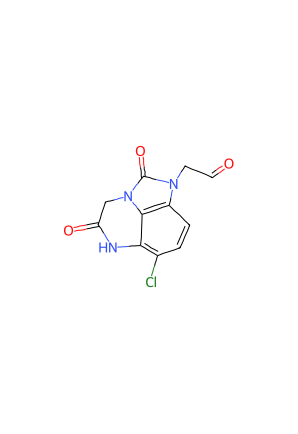 O=CCn1c(=O)n2c3c(c(Cl)ccc31)NC(=O)C2